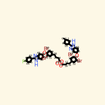 Cc1ccc(-c2nc3cc(Oc4c(Br)cc(CCCC(=O)OC(=O)CCCc5cc(Br)c(Oc6ccc7[nH]c(-c8ccc(F)cc8)nc7c6)c(Br)c5)cc4Br)ccc3[nH]2)cc1